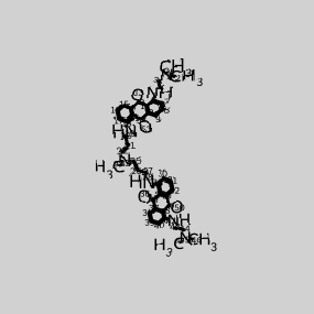 CN(C)CCNc1cccc2c1C(=O)c1cccc(NCCCN(C)CCCNc3cccc4c3C(=O)c3cccc(NCCN(C)C)c3C4=O)c1C2=O